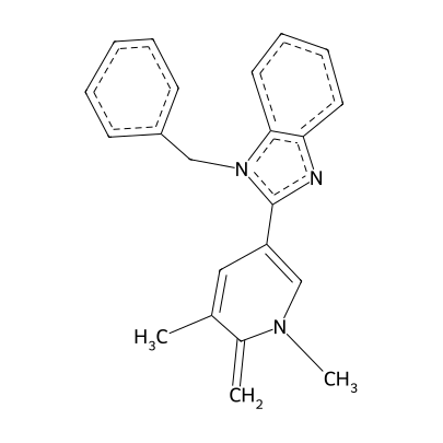 C=C1C(C)=CC(c2nc3ccccc3n2Cc2ccccc2)=CN1C